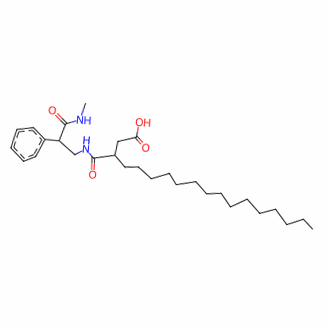 CCCCCCCCCCCCCCCC(CC(=O)O)C(=O)NCC(C(=O)NC)c1ccccc1